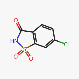 O=C1NS(=O)(=O)c2cc(Cl)ccc21